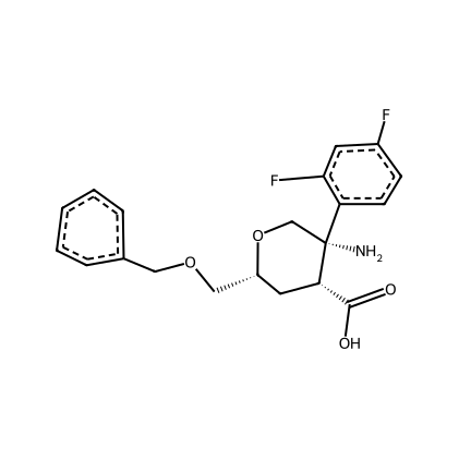 N[C@@]1(c2ccc(F)cc2F)CO[C@@H](COCc2ccccc2)C[C@H]1C(=O)O